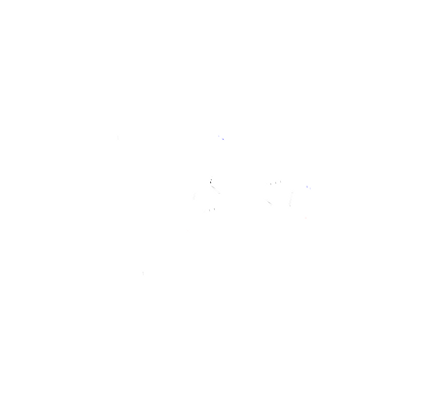 CCCC(O)CO[C@@H]1CNC[C@H](OCc2ccc(O)c(NCCCOC)c2)[C@H]1c1ccc(COCCOC)cc1